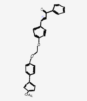 CC(=O)Oc1ccc(-c2ccc(OCCOc3ccc(/C=C/C(=O)c4ccccc4)cc3)cc2)cc1